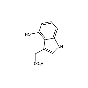 O=C(O)Cc1c[nH]c2cccc(O)c12